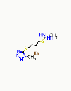 Br.CNC(=N)SCCCCSc1nnnn1C